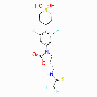 O=C1O[C@@H](CNC(=S)C(F)F)CN1c1cc(F)c(C2CCS(O)(O)CC2)c(F)c1